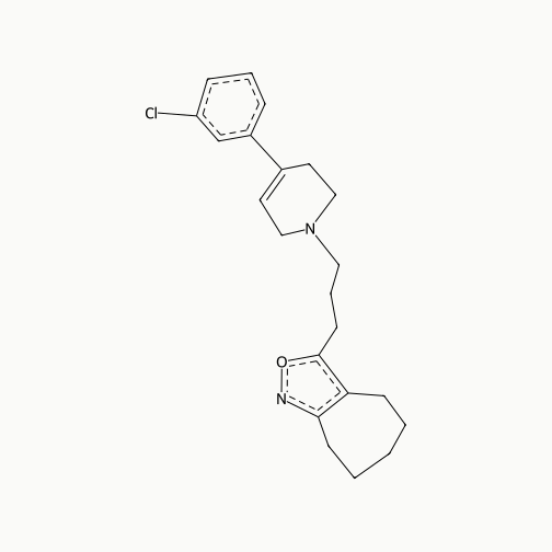 Clc1cccc(C2=CCN(CCCc3onc4c3CCCCC4)CC2)c1